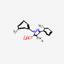 Cc1cccc(-n2nc(-c3ccccc3C)c(C)c2O)c1